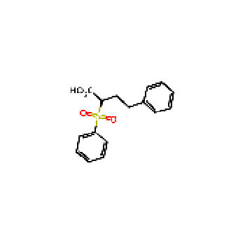 O=C(O)C(CCc1ccccc1)S(=O)(=O)c1ccccc1